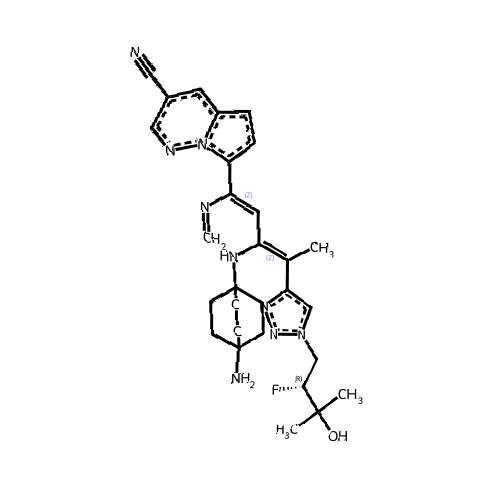 C=N/C(=C\C(NC12CCC(N)(CC1)CC2)=C(/C)c1cn(C[C@@H](F)C(C)(C)O)nn1)c1ccc2cc(C#N)cnn12